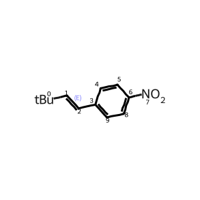 CC(C)(C)/C=C/c1ccc([N+](=O)[O-])cc1